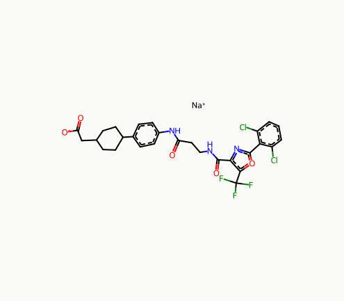 O=C([O-])CC1CCC(c2ccc(NC(=O)CCNC(=O)c3nc(-c4c(Cl)cccc4Cl)oc3C(F)(F)F)cc2)CC1.[Na+]